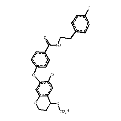 O=C(O)OC1CCOc2cc(Oc3ccc(C(=O)NCCc4ccc(F)cc4)cc3)c(Cl)cc21